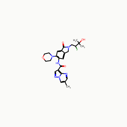 Cc1cnc2c(C(=O)Nc3cc4c(cc3N3CCOCC3)C(=O)N(CC(F)C(C)(C)O)C4)cnn2c1